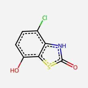 O=c1[nH]c2c(Cl)ccc(O)c2s1